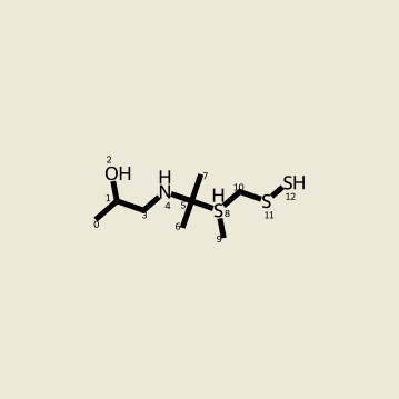 CC(O)CNC(C)(C)[SH](C)CSS